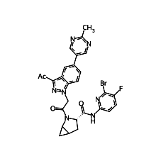 CC(=O)c1nn(CC(=O)N2C3CC3C[C@H]2C(=O)Nc2ccc(F)c(Br)n2)c2ccc(-c3cnc(C)nc3)cc12